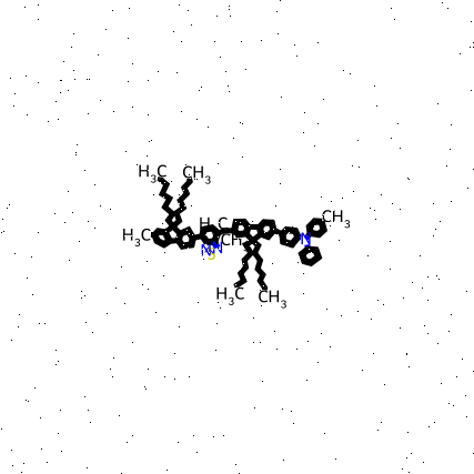 CCCCCCCCC1(CCCCCCCC)c2cc(C)ccc2-c2ccc(-c3ccc(C(C)(C)c4ccc5c(c4)C(CCCCCCCC)(CCCCCCCC)c4cc(-c6ccc(N(c7ccccc7)c7ccc(C)cc7)cc6)ccc4-5)c4nsnc34)cc21